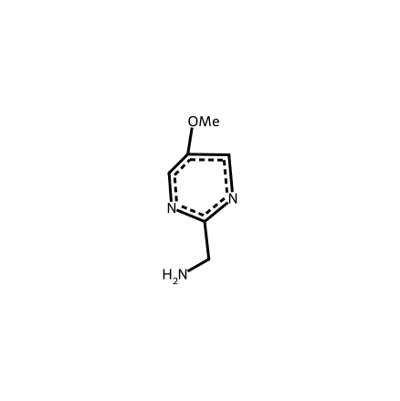 COc1cnc(CN)nc1